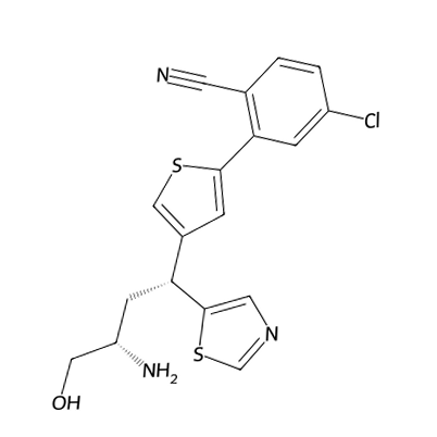 N#Cc1ccc(Cl)cc1-c1cc([C@@H](C[C@H](N)CO)c2cncs2)cs1